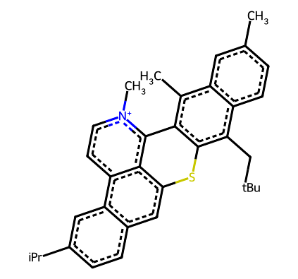 Cc1ccc2c(CC(C)(C)C)c3c(c(C)c2c1)-c1c2c(cc4ccc(C(C)C)cc4c2cc[n+]1C)S3